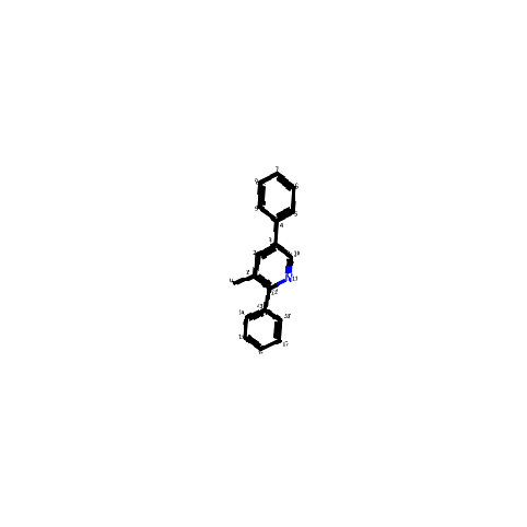 Cc1cc(-c2ccccc2)cnc1-c1ccccc1